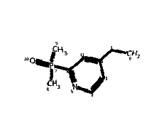 CCc1ccnc(P(C)(C)=O)c1